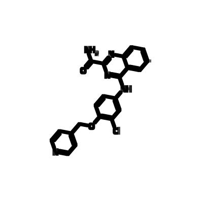 NC(=O)c1nc(Nc2ccc(OCc3ccncc3)c(Cl)c2)c2c[c]ccc2n1